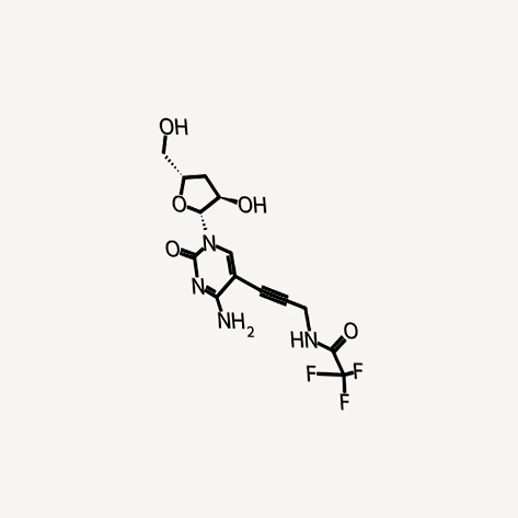 Nc1nc(=O)n([C@@H]2O[C@H](CO)C[C@H]2O)cc1C#CCNC(=O)C(F)(F)F